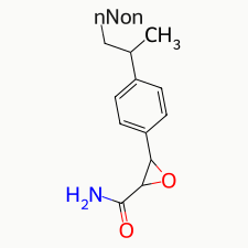 CCCCCCCCCCC(C)c1ccc(C2OC2C(N)=O)cc1